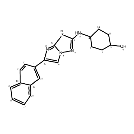 OC1CCC(Nc2nn3cc(-c4ccc5ccccc5c4)nc3s2)CC1